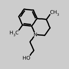 Cc1cccc2c1N(CCO)CCC2C